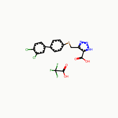 O=C(O)C(F)(F)F.O=C(O)c1[nH]nnc1CSc1ccc(-c2ccc(Cl)c(Cl)c2)cc1